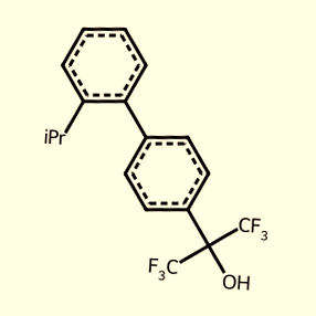 CC(C)c1ccccc1-c1ccc(C(O)(C(F)(F)F)C(F)(F)F)cc1